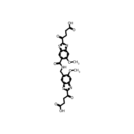 COc1cc2nc(C(=O)CCC(=O)O)sc2cc1CNC(=O)c1cc2sc(C(=O)CCC(=O)O)nc2cc1OC